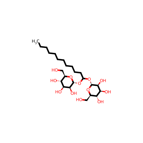 CCCCCCCCCCCC(O[C@H]1O[C@H](CO)[C@@H](O)[C@H](O)[C@@H]1O)O[C@H]1O[C@H](CO)[C@@H](O)[C@H](O)[C@@H]1O